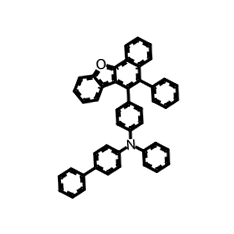 c1ccc(-c2ccc(N(c3ccccc3)c3ccc(-c4c(-c5ccccc5)c5ccccc5c5oc6ccccc6c45)cc3)cc2)cc1